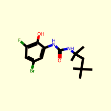 CC(C)(C)CC(C)(C)NC(=O)Nc1cc(Br)cc(F)c1O